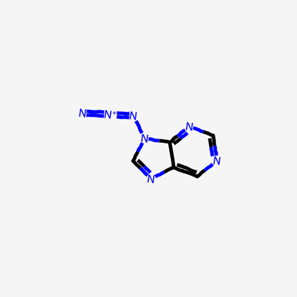 [N-]=[N+]=Nn1cnc2cncnc21